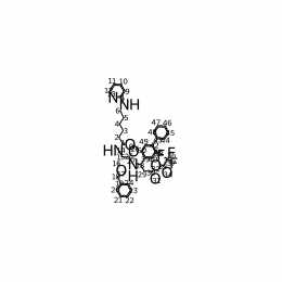 O=C(CCCCCNc1ccccn1)N[C@@H](COCc1ccccc1)C(=O)NC(CC(=O)OC(=O)C(F)(F)F)c1ccc(-c2ccccc2)cc1